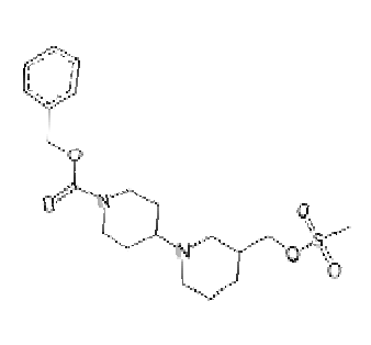 CS(=O)(=O)OCC1CCCN(C2CCN(C(=O)OCc3ccccc3)CC2)C1